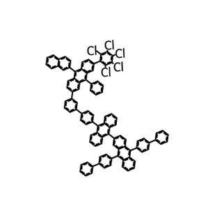 Clc1c(Cl)c(Cl)c(-c2ccc3c(-c4ccc5ccccc5c4)c4ccc(-c5cccc(-c6ccc(-c7c8ccccc8c(-c8ccc9c(-c%10ccc(-c%11ccccc%11)cc%10)c%10ccccc%10c(-c%10ccc(-c%11ccccc%11)cc%10)c9c8)c8ccccc78)cc6)c5)cc4c(-c4ccccc4)c3c2)c(Cl)c1Cl